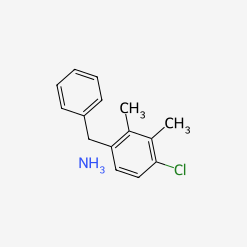 Cc1c(Cl)ccc(Cc2ccccc2)c1C.N